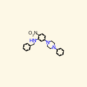 O=[N+]([O-])c1ccc(N2CCN(c3ccccc3)CC2)cc1NCc1ccccc1